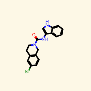 O=C(Nc1c[nH]c2ccccc12)N1CCc2cc(Br)ccc2C1